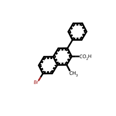 Cc1c(C(=O)O)c(-c2ccccc2)cc2ccc(Br)cc12